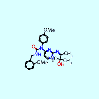 COc1ccc(N(C(=O)NCc2ccccc2OC)c2ccnc(N=C(C)C(C)(C)O)n2)cc1